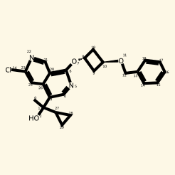 CC(O)(c1cnc(O[C@H]2C[C@H](OCc3ccccc3)C2)c2cnc(Cl)cc12)C1CC1